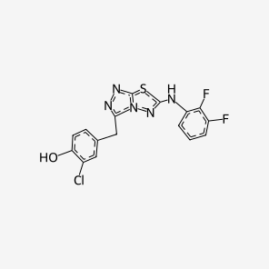 Oc1ccc(Cc2nnc3sc(Nc4cccc(F)c4F)nn23)cc1Cl